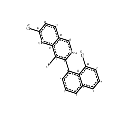 Fc1c(-c2cccc3cccc(Cl)c23)ncc2ccc(Cl)nc12